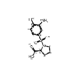 Nc1cc(S(=O)(=O)N2CCC[C@H]2C(=O)O)ccc1Cl